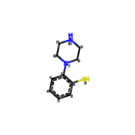 Sc1ccccc1N1CCNCC1